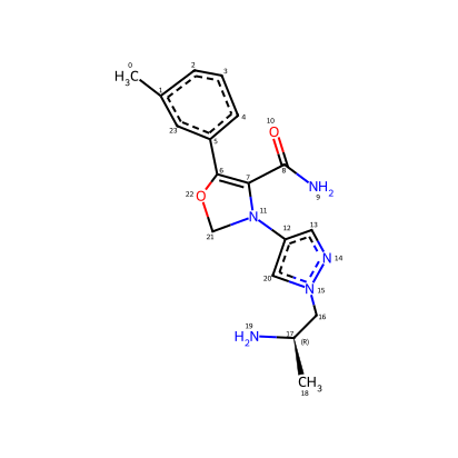 Cc1cccc(C2=C(C(N)=O)N(c3cnn(C[C@@H](C)N)c3)CO2)c1